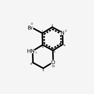 Brc1cncc2c1NCCO2